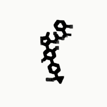 Cc1nsc(-c2cc(F)c(-c3ccc(C4(C=O)CC4)cc3)cc2Cl)c1NC(=O)O[C@H](C)c1ccccc1Cl